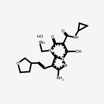 CC(C)(C)Cn1c(=O)c(C(=O)NC2CC2)c(O)n2nc(N)c(C=CC3CCOC3)c12.Cl